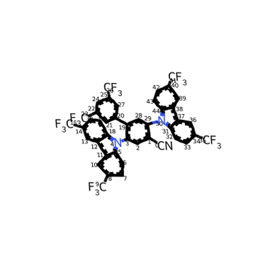 N#Cc1cc(-n2c3ccc(C(F)(F)F)cc3c3cc(C(F)(F)F)ccc32)c(-c2cc(C(F)(F)F)cc(C(F)(F)F)c2)cc1-n1c2ccc(C(F)(F)F)cc2c2cc(C(F)(F)F)ccc21